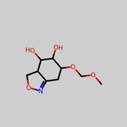 COCOC1CC2=NOCC2C(O)C1O